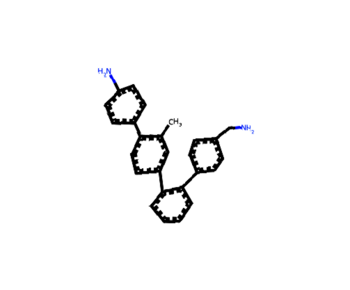 Cc1cc(-c2[c]cccc2-c2ccc(CN)cc2)ccc1-c1ccc(N)cc1